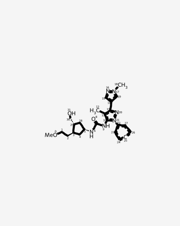 COCC[C@@H]1C[C@@H](NC(=O)Nc2c(C)c(-c3cnn(C)c3)nn2-c2ccccc2)C[C@H]1CO